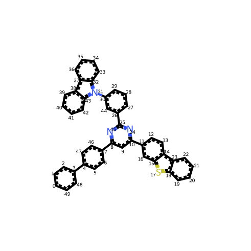 c1ccc(-c2ccc(-c3cc(-c4ccc5c(c4)sc4ccccc45)nc(-c4cccc(-n5c6ccccc6c6ccccc65)c4)n3)cc2)cc1